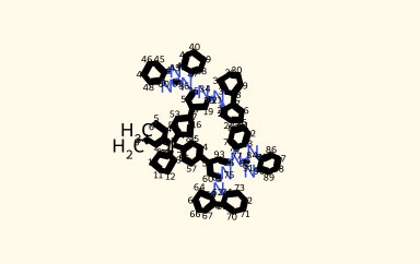 C=C/C=C(\C=C/C)[Si](c1ccccc1)(c1ccc(-c2cc(-n3c4ccccc4c4ccccc43)nc(-n3c4ccccc4n4c5ccccc5nc34)c2)cc1)c1ccc(-c2cc(-n3c4ccccc4c4ccccc43)nc(-n3c4ccccc4n4c5ccccc5nc34)c2)cc1